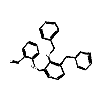 O=Cc1ccccc1Pc1cccc(CC2C=CC=CC2)c1OCc1ccccc1